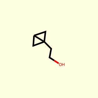 OCCC12CC1C2